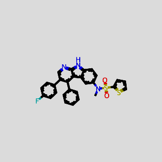 CN(c1ccc2[nH]c3ncc(-c4ccc(F)cc4)c(-c4ccccc4)c3c2c1)S(=O)(=O)c1cccs1